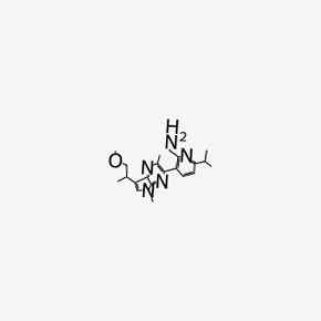 COCC(C)c1cn(C)c2nc(-c3ccc(C(C)C)nc3CN)c(C)nc12